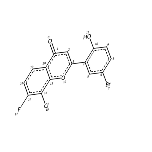 O=c1cc(-c2cc(Br)ccc2O)oc2c(Cl)c(F)ccc12